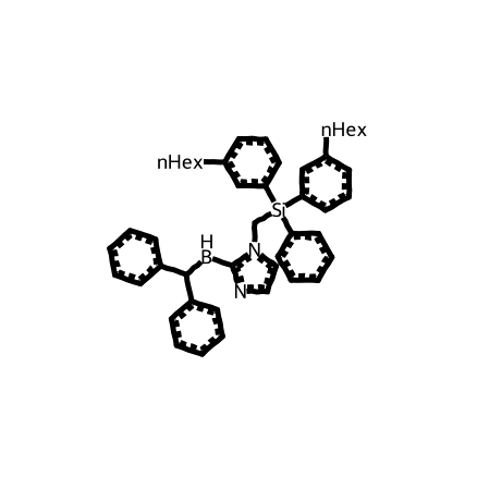 CCCCCCc1cccc([Si](Cn2ccnc2BC(c2ccccc2)c2ccccc2)(c2ccccc2)c2cccc(CCCCCC)c2)c1